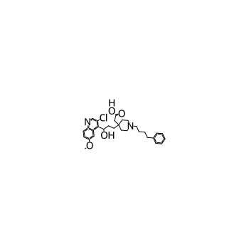 COc1ccc2ncc(Cl)c([C@H](O)CCC3(CC(=O)O)CCN(CCCCc4ccccc4)CC3)c2c1